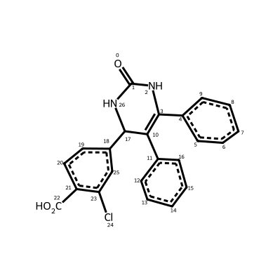 O=C1NC(c2ccccc2)=C(c2ccccc2)C(c2ccc(C(=O)O)c(Cl)c2)N1